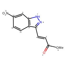 COC(=O)C=Cc1n[nH]c2cc([N+](=O)[O-])ccc12